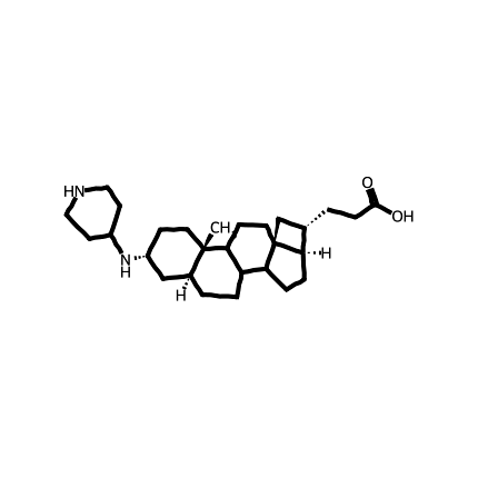 C[C@]12CC[C@@H](NC3CCNCC3)C[C@@H]1CCC1C3CC[C@@H]4[C@@H](CCC(=O)O)C[C@]34CCC12